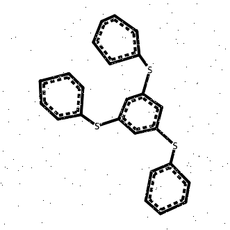 c1ccc(Sc2cc(Sc3ccccc3)cc(Sc3ccccc3)c2)cc1